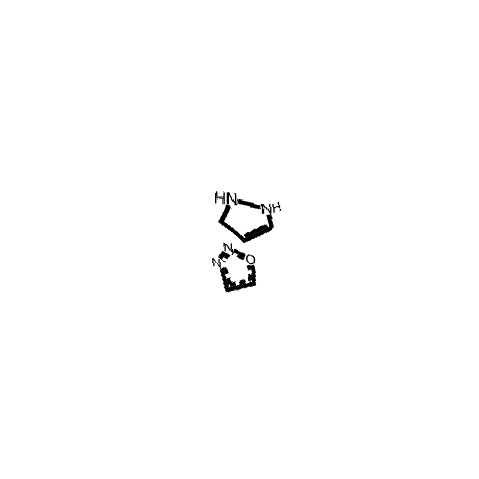 C1=CNNC1.c1conn1